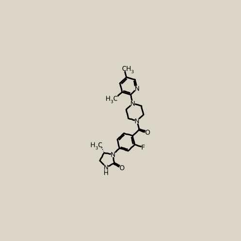 Cc1cnc(N2CCN(C(=O)c3ccc(N4C(=O)NC[C@@H]4C)cc3F)CC2)c(C)c1